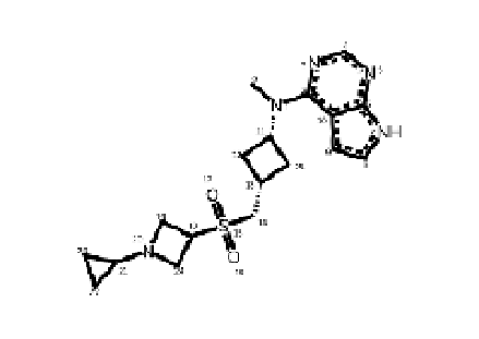 CN(c1ncnc2[nH]ccc12)[C@H]1C[C@@H](CS(=O)(=O)C2CN(C3CC3)C2)C1